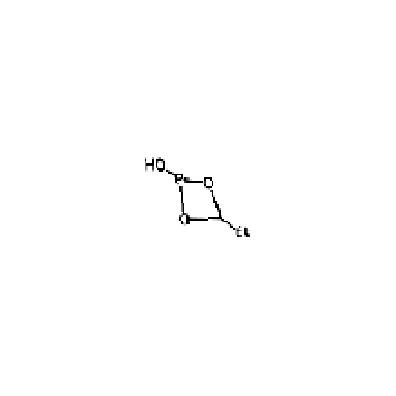 CCC1OP(O)O1